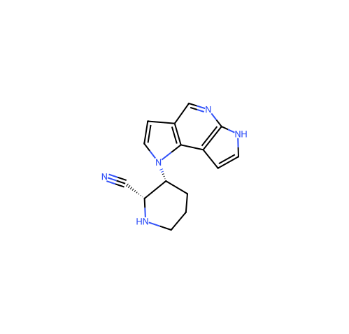 N#C[C@H]1NCCC[C@H]1n1ccc2cnc3[nH]ccc3c21